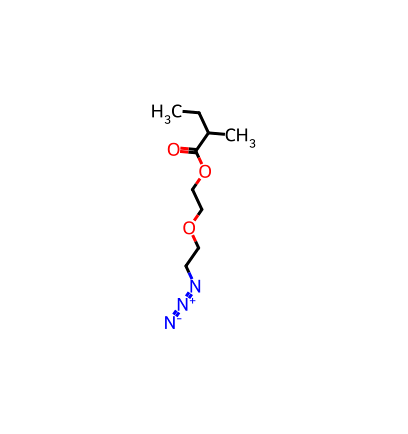 CCC(C)C(=O)OCCOCCN=[N+]=[N-]